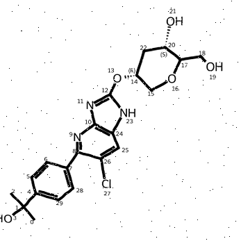 CC(C)(O)c1ccc(-c2nc3nc(O[C@H]4COC(CO)[C@@H](O)C4)[nH]c3cc2Cl)cc1